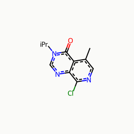 Cc1cnc(Cl)c2ncn(C(C)C)c(=O)c12